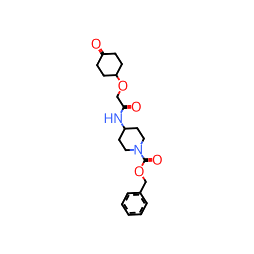 O=C1CCC(OCC(=O)NC2CCN(C(=O)OCc3ccccc3)CC2)CC1